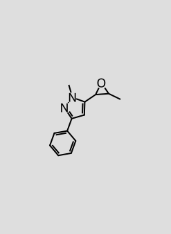 CC1OC1c1cc(-c2ccccc2)nn1C